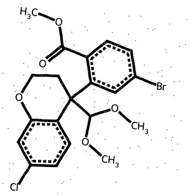 COC(=O)c1ccc(Br)cc1C1(C(OC)OC)CCOc2cc(Cl)ccc21